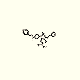 CC(=O)N(C1CC1)C1CCN(C(=O)OCc2ccccc2)C(N(C2CC2)C2CCN(C(=O)OCc3ccccc3)CC2)C1